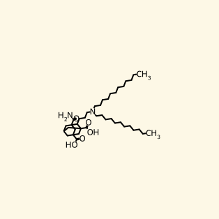 CCCCCCCCCCCCN(CCCCCCCCCCCC)CCCC1C2(C(N)=O)CC3CC(C(=O)O)(C2)CC1(C(=O)O)C3